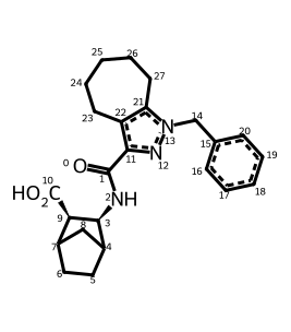 O=C(N[C@H]1C2CCC(C2)[C@H]1C(=O)O)c1nn(Cc2ccccc2)c2c1CCCCC2